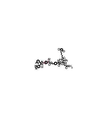 Cc1cccc(-c2nc(C34CCC(NC(=O)OCc5ccc(NC(=O)[C@H](CCCNC(N)=O)NC(=O)C(NC(=O)CCCCCN6C(=O)C=CC6=O)C(C)C)cc5)(CC3)CC4)[nH]c2-c2ccc3ncnn3c2)n1